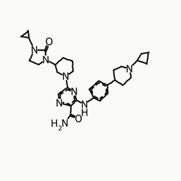 NC(=O)c1ncc(N2CCCC(N3CCN(C4CC4)C3=O)C2)nc1Nc1ccc(C2CCN(C3CCC3)CC2)cc1